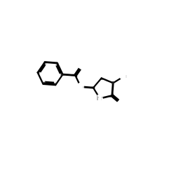 O=C(OC1CC(O)C(=O)N1)c1ccccc1